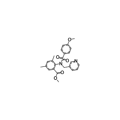 COC(=O)c1cc(C)cc(C)c1N(Cc1cccnc1)S(=O)(=O)c1ccc(OC)cc1